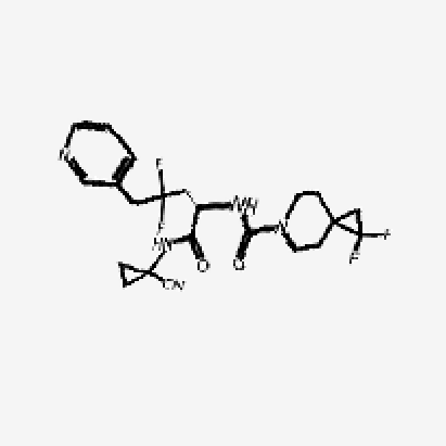 N#CC1(NC(=O)[C@H](CC(F)(F)Cc2cccnc2)NC(=O)N2CCC3(CC2)CC3(F)F)CC1